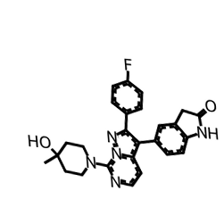 CC1(O)CCN(c2nccc3c(-c4ccc5c(c4)CC(=O)N5)c(-c4ccc(F)cc4)nn23)CC1